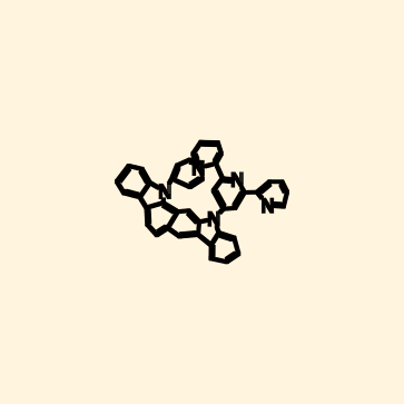 c1ccc(-n2c3ccccc3c3ccc4cc5c6ccccc6n(-c6cc(-c7ccccn7)nc(-c7ccccn7)c6)c5cc4c32)cc1